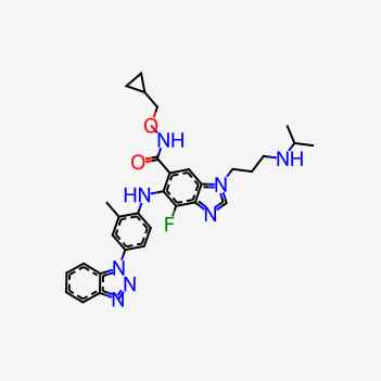 Cc1cc(-n2nnc3ccccc32)ccc1Nc1c(C(=O)NOCC2CC2)cc2c(ncn2CCCNC(C)C)c1F